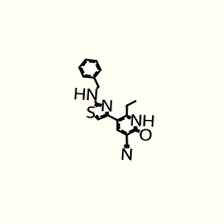 CCc1[nH]c(=O)c(C#N)cc1-c1csc(NCc2ccccc2)n1